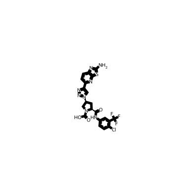 Nc1nc2ccc(-c3cn([C@H]4C[C@@H](C(=O)Nc5ccc(Cl)c(C(F)(F)F)c5)N(C(=O)O)C4)nn3)nc2s1